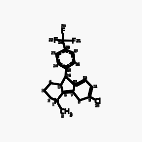 CN1CCCC2C1=C1CC(Cl)=CC=C1C2c1ccc(C(F)(F)F)cc1